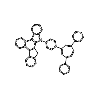 C1=CC(c2ccccc2)=CC(c2ccc(-n3c4ccccc4c4c5ccccc5c5c(c43)Cc3ccccc3-5)cc2)=CC=1c1ccccc1